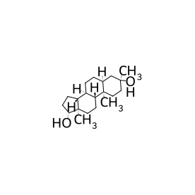 C[C@]1(O)CC[C@]2(C)[C@@H](CC[C@@H]3[C@H]4CC[C@@H](O)[C@]4(C)CC[C@H]32)C1